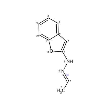 C/C=N/Nc1cc2ccccc2o1